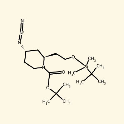 CC(C)(C)OC(=O)N1CC[C@H](N=[N+]=[N-])C[C@H]1CCO[Si](C)(C)C(C)(C)C